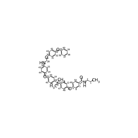 CCCNC(=O)c1ccc(Oc2ccc(C(C)(C)c3ccc(Oc4ccc(NCOc5ccc(Oc6ccccc6)cc5)cc4)cc3)cc2)cc1